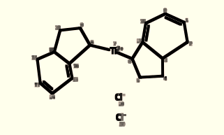 C1=CCC2CC[CH]([Ti+2][CH]3CCC4CC=CC=C43)C2=C1.[Cl-].[Cl-]